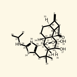 C=C1C2C(=O)[C@]34[C@H]2[C@H]1CC[C@H]3[C@@]12CO[C@]4(O)[C@@H](O)[C@@H]1C(C)(C)Cc1sc(NC(C)C)nc12